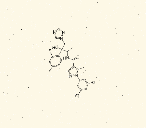 Cc1c(C(=O)NC(C)C(O)(Cn2cncn2)c2ccc(F)cc2F)cnn1-c1cc(Cl)cc(Cl)c1